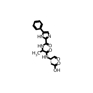 CC(NC(=O)c1ncc(-c2ccccc2)[nH]1)C(=O)N[C@H](C=O)CC(=O)O